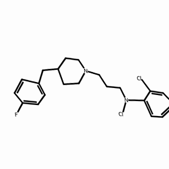 Fc1ccc(CC2CCN(CCCN(Cl)c3ccccc3Cl)CC2)cc1